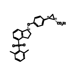 CCOC(=O)[C@H]1C[C@@H]1c1ccc(O[C@@H]2CCc3c2cccc3S(=O)(=O)c2c(C)cccc2C)cc1